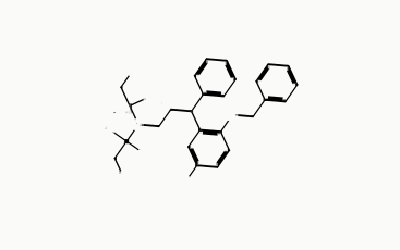 [2H]CC([2H])(C)N(CCC(c1ccccc1)c1cc(C)ccc1OCc1ccccc1)[C@]([2H])(C)C[2H]